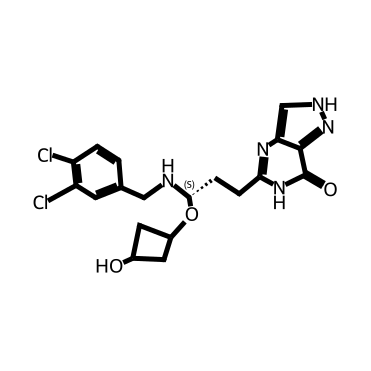 O=c1[nH]c(CC[C@@H](NCc2ccc(Cl)c(Cl)c2)OC2CC(O)C2)nc2c[nH]nc12